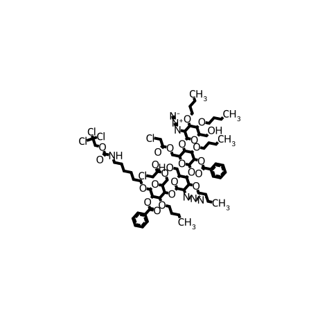 CCCCOC1C(CO)OC(OC2C(COC(=O)CCl)OC(OC3C(CO)OC(OC4C(COC(=O)CCl)OC(OCCCCCCNC(=O)OCC(Cl)(Cl)Cl)C(OC(=O)c5ccccc5)C4OCCCC)C(N=[N+]=[N-])C3OCCCC)C(OC(=O)c3ccccc3)C2OCCCC)C(N=[N+]=[N-])C1OCCCC